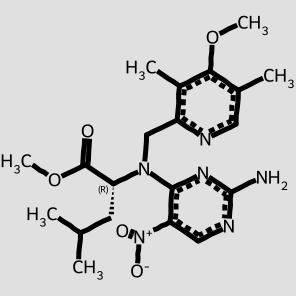 COC(=O)[C@@H](CC(C)C)N(Cc1ncc(C)c(OC)c1C)c1nc(N)ncc1[N+](=O)[O-]